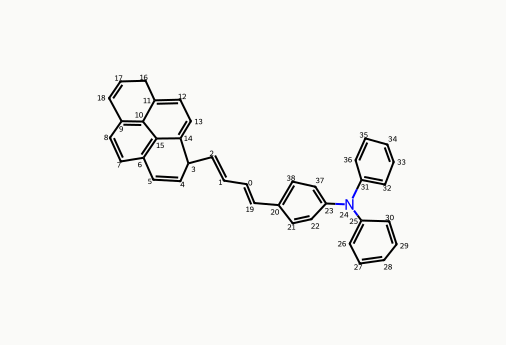 C(C=CC1C=Cc2ccc3c4c(ccc1c24)CC=C3)=Cc1ccc(N(c2ccccc2)c2ccccc2)cc1